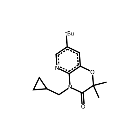 CC1(C)Oc2cc(C(C)(C)C)cnc2N(CC2CC2)C1=O